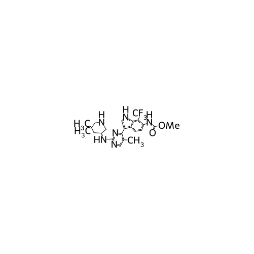 COC(=O)Nc1ccc2c(-c3nc(N[C@@H]4CNCC(C)(C)C4)ncc3C)c[nH]c2c1C(F)(F)F